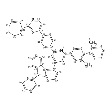 Cc1ccccc1-c1ccc(-c2nc(-c3ccc(-c4cccc(C5=CCC=CC=C5)c4)cc3)nc(-c3cccc4c3c3ccccc3n4-c3ccccc3)n2)cc1C